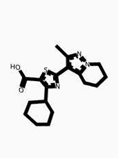 Cc1nn2c(c1-c1nc(C3CCCCC3)c(C(=O)O)s1)CCCC2